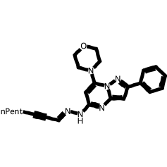 CCCCCC#CC=NNc1cc(N2CCOCC2)n2nc(-c3ccccc3)cc2n1